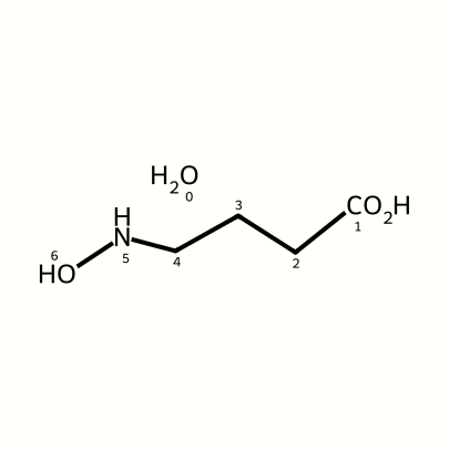 O.O=C(O)CCCNO